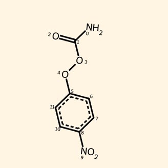 NC(=O)OOc1ccc([N+](=O)[O-])cc1